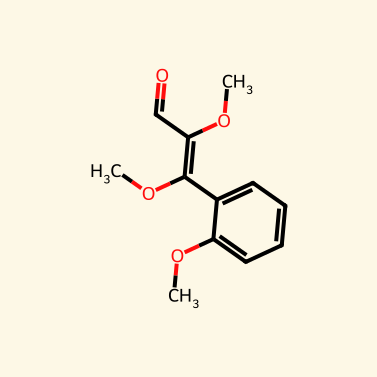 COC(C=O)=C(OC)c1ccccc1OC